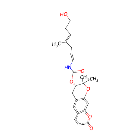 C/C(=C\CCO)C/C=C/NC(=O)O[C@H]1Cc2cc3ccc(=O)oc3cc2OC1(C)C